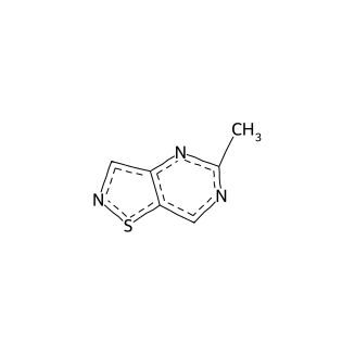 Cc1ncc2sncc2n1